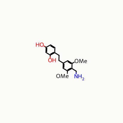 COc1cc(CCc2ccc(O)cc2O)cc(OC)c1CN